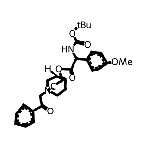 COc1ccc(C(NC(=O)OC(C)(C)C)C(=O)O[C@H]2C[N+]3(CC(=O)c4ccccc4)CCC2CC3)cc1